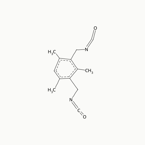 Cc1cc(C)c(CN=C=O)c(C)c1CN=C=O